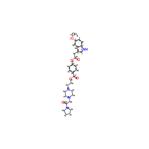 COc1ccc2[nH]cc(CC(=O)Oc3ccc(C(=O)OCCN4CCN(CC(=O)N5CCCC5)CC4)cc3)c2c1